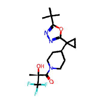 CC(C)(C)c1nnc(C2(C3CCN(C(=O)[C@@](C)(O)C(F)(F)F)CC3)CC2)o1